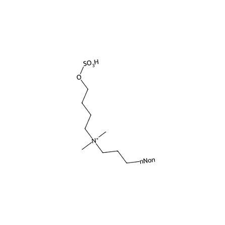 CCCCCCCCCCCC[N+](C)(C)CCCCOS(=O)(=O)O